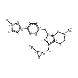 CC(=O)N1CCc2c(c(Cc3ccc(-c4cnn(C)c4)cc3)nn2C[C@@H]2C[C@H]2F)C1